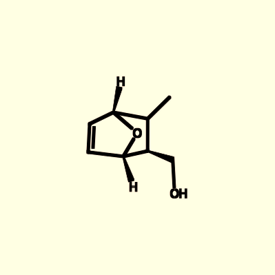 CC1[C@@H](CO)[C@@H]2C=C[C@H]1O2